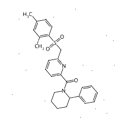 Cc1ccc(S(=O)(=O)Cc2cccc(C(=O)N3CCCCC3c3ccccc3)n2)c(C)c1